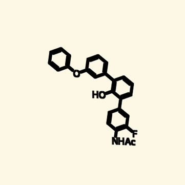 CC(=O)Nc1ccc(-c2cccc(-c3cccc(Oc4ccccc4)c3)c2O)cc1F